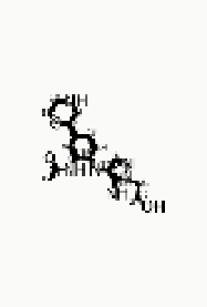 CC(=O)NC1=CC(=C2CNCCO2)C=CC1=Nc1cnn(CCO)c1N